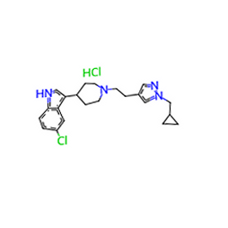 Cl.Clc1ccc2[nH]cc(C3CCN(CCc4cnn(CC5CC5)c4)CC3)c2c1